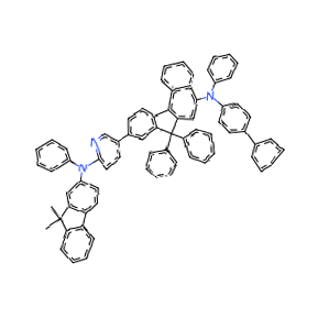 CC1(C)c2ccccc2-c2ccc(N(c3ccccc3)c3ccc(-c4ccc5c(c4)C(c4ccccc4)(c4ccccc4)c4cc(N(c6ccccc6)c6ccc(-c7ccccc7)cc6)c6ccccc6c4-5)cn3)cc21